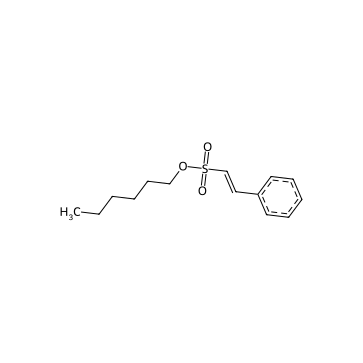 CCCCCCOS(=O)(=O)C=Cc1ccccc1